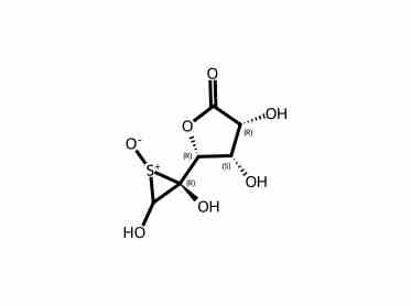 O=C1O[C@@H]([C@]2(O)C(O)[S+]2[O-])[C@@H](O)[C@H]1O